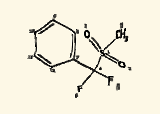 CS(=O)(=O)C(F)(F)c1ccccc1